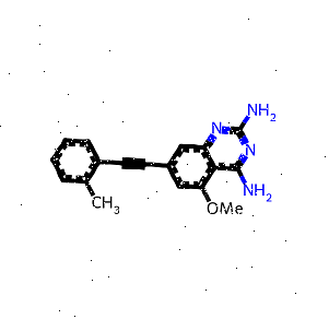 COc1cc(C#Cc2ccccc2C)cc2nc(N)nc(N)c12